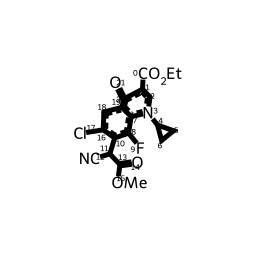 CCOC(=O)c1cn(C2CC2)c2c(F)c(C(C#N)C(=O)OC)c(Cl)cc2c1=O